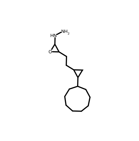 NNC1OC1CCC1CC1C1CCCCCCCC1